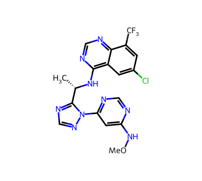 CONc1cc(-n2ncnc2[C@H](C)Nc2ncnc3c(C(F)(F)F)cc(Cl)cc23)ncn1